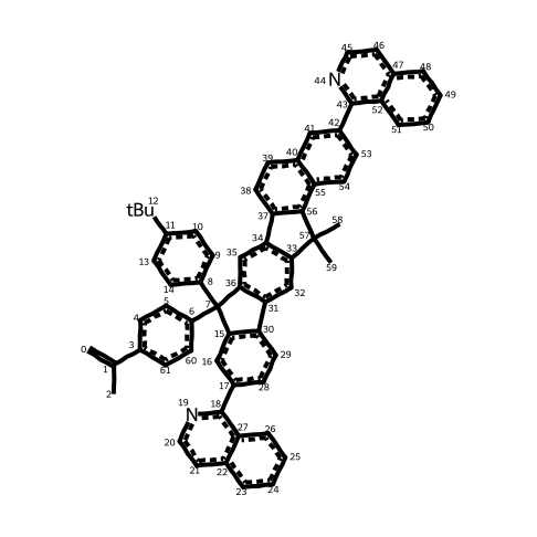 C=C(C)c1ccc(C2(c3ccc(C(C)(C)C)cc3)c3cc(-c4nccc5ccccc45)ccc3-c3cc4c(cc32)-c2ccc3cc(-c5nccc6ccccc56)ccc3c2C4(C)C)cc1